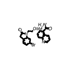 COCCN1C(=O)Cc2ccc(Br)cc21.NC(=O)c1cccc2ncccc12